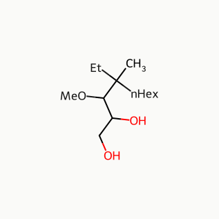 CCCCCCC(C)(CC)C(OC)C(O)CO